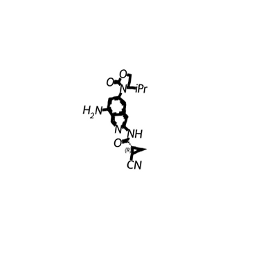 CC(C)C1COC(=O)N1c1cc(N)c2cnc(NC(=O)[C@@H]3CC3C#N)cc2c1